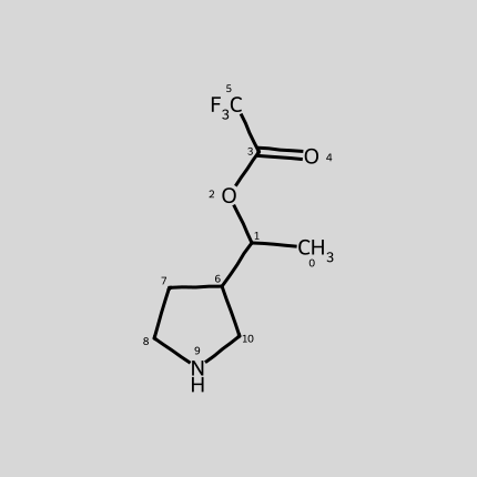 CC(OC(=O)C(F)(F)F)C1CCNC1